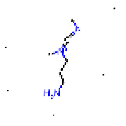 CN=C=[N+](C)CCCN